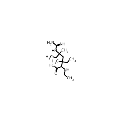 CCNC(C(=O)O)C(C)(CC)CC(C)(CC)NC(=N)N